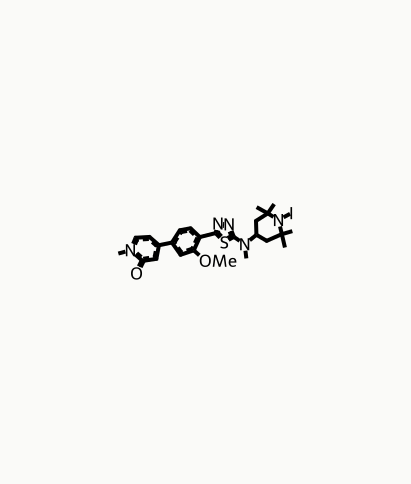 COc1cc(-c2ccn(C)c(=O)c2)ccc1-c1nnc(N(C)C2CC(C)(C)N(I)C(C)(C)C2)s1